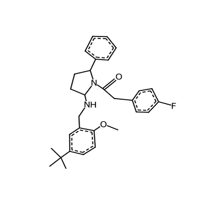 COc1ccc(C(C)(C)C)cc1CNC1CCC(c2ccccc2)N1C(=O)Cc1ccc(F)cc1